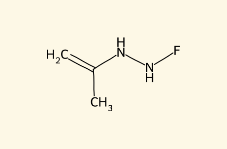 C=C(C)NNF